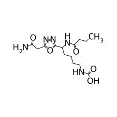 CCCC(=O)NC(CCCCNC(=O)O)c1nnc(CC(N)=O)o1